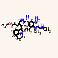 CNCCN(C)c1cc(OC)c(Nc2ncc(CCCOC)c(-c3cn4c5c(cccc35)CCC4)n2)cc1N